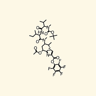 CCC(C)C(NC(=O)C(C(C)C)N(C)C(=O)OC(C)(C)C)C(=O)N(C)C(CC(OC(C)=O)c1nc(C(=O)Oc2c(F)c(F)c(F)c(F)c2F)cs1)C(C)C